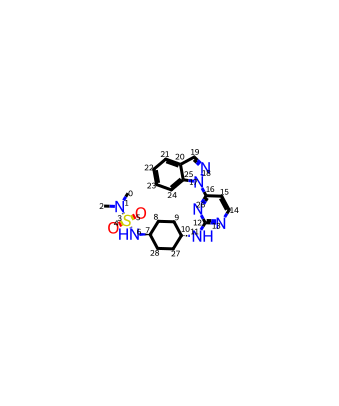 CN(C)S(=O)(=O)N[C@H]1CC[C@H](Nc2nccc(-n3ncc4ccccc43)n2)CC1